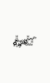 COc1nc(NCCNC(C)C)nc(OC)c1NC(=O)c1csc(Oc2cc(C(C)(C)O)ccc2C)n1